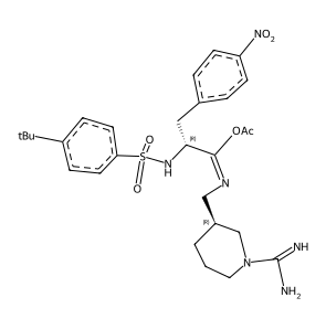 CC(=O)OC(=NC[C@@H]1CCCN(C(=N)N)C1)[C@@H](Cc1ccc([N+](=O)[O-])cc1)NS(=O)(=O)c1ccc(C(C)(C)C)cc1